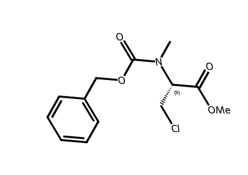 COC(=O)[C@H](CCl)N(C)C(=O)OCc1ccccc1